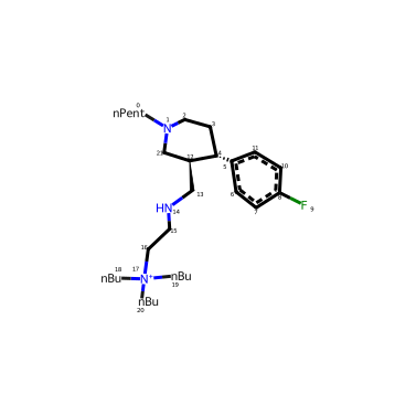 CCCCCN1CC[C@H](c2ccc(F)cc2)[C@@H](CNCC[N+](CCCC)(CCCC)CCCC)C1